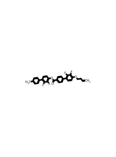 C=CCCOc1ccc(-c2ccc(C(=O)Oc3ccc(-c4ccc(C)cc4)c(F)c3F)cc2)c(F)c1F